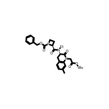 CCN(C(=O)[C@@H]1CCN1C(=O)OCc1ccccc1)[C@H]1Cc2ccc(C)cc2N(CC(=O)OC(C)(C)C)C1=O